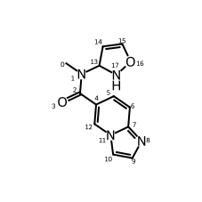 CN(C(=O)c1ccc2nccn2c1)C1C=CON1